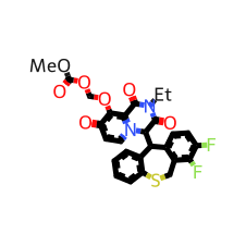 CCN1C(=O)c2c(OCOC(=O)OC)c(=O)ccn2C(C2c3ccccc3SCc3c2ccc(F)c3F)C1=O